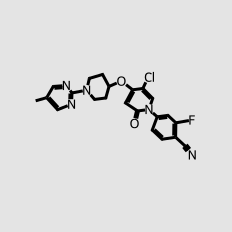 Cc1cnc(N2CCC(Oc3cc(=O)n(-c4ccc(C#N)c(F)c4)cc3Cl)CC2)nc1